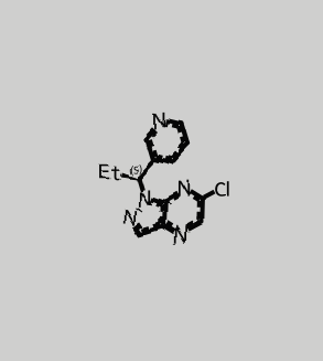 CC[C@@H](c1cccnc1)n1ncc2ncc(Cl)nc21